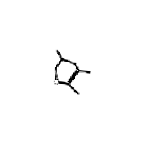 CC1=C(C)OCC(C)C1